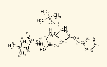 CC(C)(C)OC[C@H](NC(=O)OCc1ccccc1)C(=O)NC(CNC(=O)OC(C)(C)C)C(=O)O